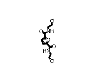 O=C(NCCCl)c1ccc(C(=O)NCCCl)o1